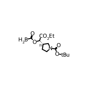 BC(=O)OC(C(=O)OCC)[C@H]1CCN(C(=O)OC(C)(C)C)C1